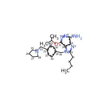 CCCCc1nc2c(N)nnc(OC(C)C)c2n1Cc1ccc(CN2CCCC2)cc1